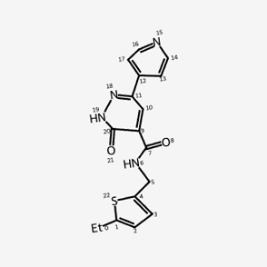 CCc1ccc(CNC(=O)c2cc(-c3ccncc3)n[nH]c2=O)s1